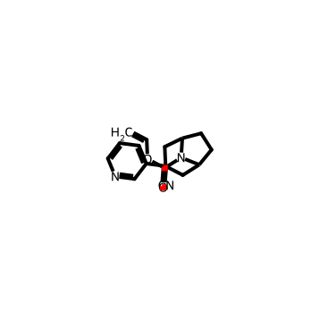 C=COC(=O)N1C2CCC1CC(C#N)(c1cccnc1)C2